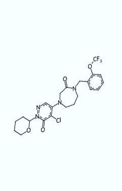 O=C1CN(c2cnn(C3CCCCO3)c(=O)c2Cl)CCCN1Cc1ccccc1OC(F)(F)F